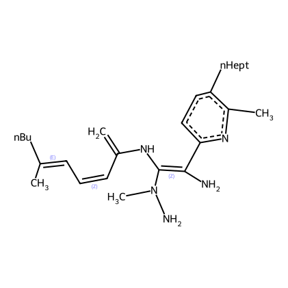 C=C(/C=C\C=C(/C)CCCC)N/C(=C(/N)c1ccc(CCCCCCC)c(C)n1)N(C)N